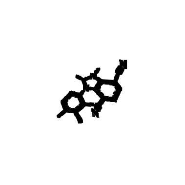 Cc1ccc(N2c3c(C#N)ccc(C#N)c3N(C)[C@@H]2C)c(C)c1C